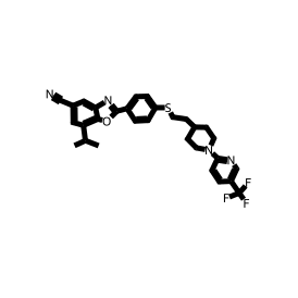 CC(C)c1cc(C#N)cc2nc(-c3ccc(SCCC4CCN(c5ccc(C(F)(F)F)cn5)CC4)cc3)oc12